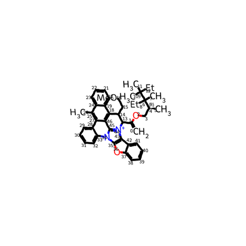 C=C(OC[C@H](C)C(C)(CC)C(C)(C)CC)C1C(CCOC)c2c3ccccc3c(C)c3c4ccccc4n4c5oc6ccccc6c5[n+]1c4c23